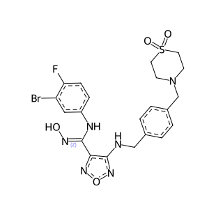 O=S1(=O)CCN(Cc2ccc(CNc3nonc3/C(=N/O)Nc3ccc(F)c(Br)c3)cc2)CC1